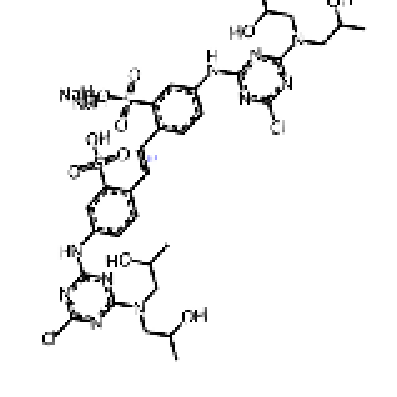 CC(O)CN(CC(C)O)c1nc(Cl)nc(Nc2ccc(/C=C/c3ccc(Nc4nc(Cl)nc(N(CC(C)O)CC(C)O)n4)cc3S(=O)(=O)O)c(S(=O)(=O)O)c2)n1.[NaH].[NaH]